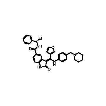 CC[C@@H](NC(=O)c1ccc2c(c1)/C(=C(/Nc1ccc(CN3CCCCC3)cc1)c1ccoc1)C(=O)N2)c1ccccc1